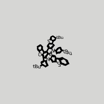 CC(C)(C)c1ccc(N2B3c4cc5c(cc4-n4c6ccc(C(C)(C)C)cc6c6c7oc8ccccc8c7c(c3c64)-c3cc4sc6ccc(C(C)(C)C)cc6c4cc32)sc2ccccc25)cc1